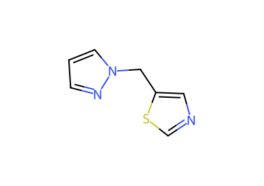 c1cnn(Cc2cncs2)c1